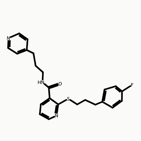 O=C(NCCCc1ccncc1)c1cccnc1SCCCc1ccc(F)cc1